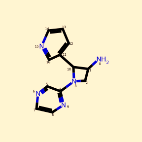 NC1CN(c2cnccn2)C1c1cccnc1